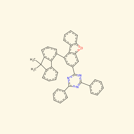 CC1(C)c2ccccc2-c2c(-c3cc(-c4nc(-c5ccccc5)nc(-c5ccccc5)n4)cc4oc5ccccc5c34)cccc21